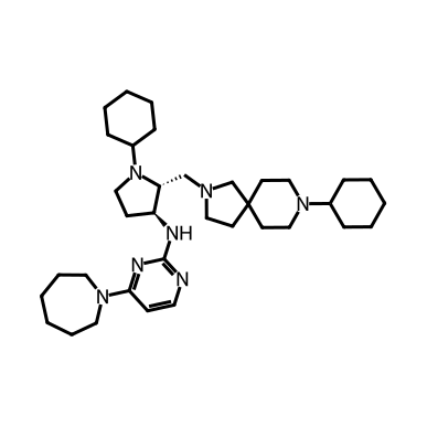 c1cc(N2CCCCCC2)nc(N[C@H]2CCN(C3CCCCC3)[C@@H]2CN2CCC3(CCN(C4CCCCC4)CC3)C2)n1